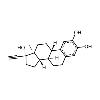 C#C[C@]1(O)CC[C@H]2[C@@H]3CCc4cc(O)c(O)cc4[C@H]3CC[C@@]21C